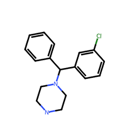 Clc1cccc(C(c2ccccc2)N2CC[N]CC2)c1